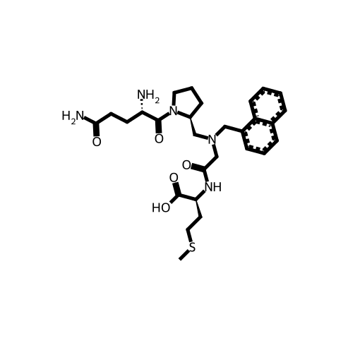 CSCC[C@H](NC(=O)CN(Cc1cccc2ccccc12)C[C@@H]1CCCN1C(=O)[C@@H](N)CCC(N)=O)C(=O)O